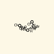 O=C(NCc1ccc(Cl)cc1Cl)Nc1cccc(CNc2cc(-c3ccccc3Cl)nc3c(Br)cnn23)c1